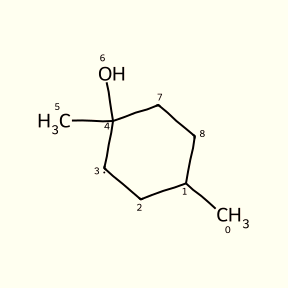 CC1C[CH]C(C)(O)CC1